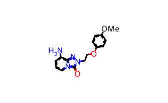 COc1ccc(OCCn2nc3c(N)cccn3c2=O)cc1